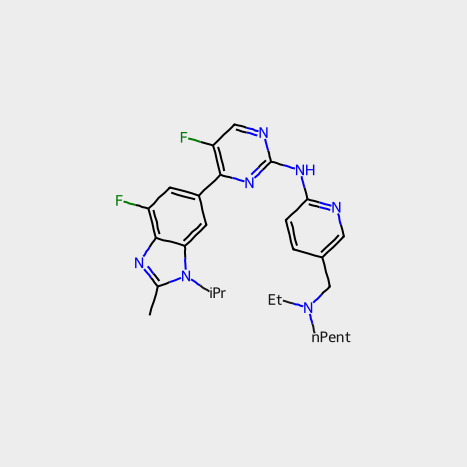 CCCCCN(CC)Cc1ccc(Nc2ncc(F)c(-c3cc(F)c4nc(C)n(C(C)C)c4c3)n2)nc1